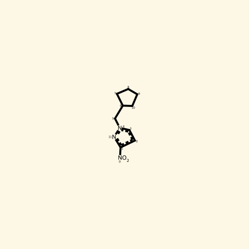 O=[N+]([O-])c1ccn(CC2CCCC2)n1